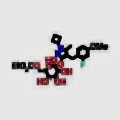 CCOC(=O)OC[C@H]1O[C@@](O)(Oc2nn(C3CCC3)c(C)c2Cc2ccc(OC)cc2F)[C@H](O)[C@@H](O)[C@@H]1O